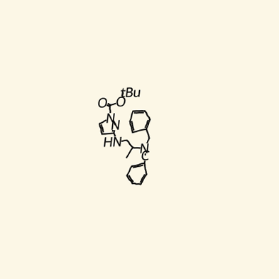 CC(CNc1ccn(C(=O)OC(C)(C)C)n1)N(Cc1ccccc1)Cc1ccccc1